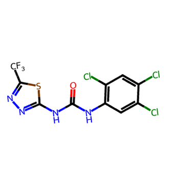 O=C(Nc1nnc(C(F)(F)F)s1)Nc1cc(Cl)c(Cl)cc1Cl